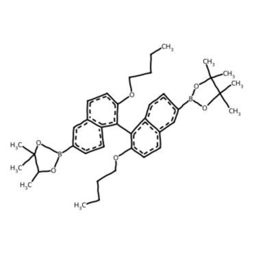 CCCCOc1ccc2cc(B3OC(C)C(C)(C)O3)ccc2c1-c1c(OCCCC)ccc2cc(B3OC(C)(C)C(C)(C)O3)ccc12